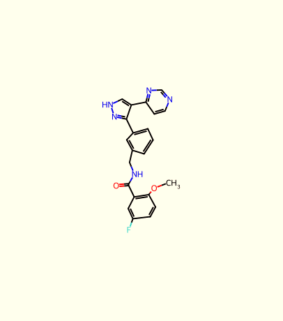 COc1ccc(F)cc1C(=O)NCc1cccc(-c2n[nH]cc2-c2ccncn2)c1